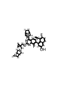 C#Cc1c(F)ccc2cc(O)cc(-c3ccc4c(N5CC6CCC(C5)N6)nc(OCC5(CN6CC7CN(C)C7C6)CC5)nc4c3F)c12